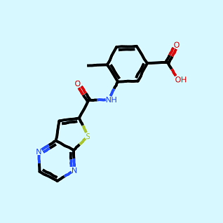 Cc1ccc(C(=O)O)cc1NC(=O)c1cc2nccnc2s1